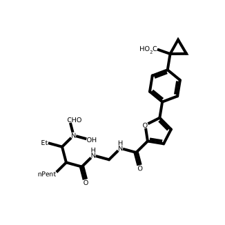 CCCCCC(C(=O)NCNC(=O)c1ccc(-c2ccc(C3(C(=O)O)CC3)cc2)o1)C(CC)N(O)C=O